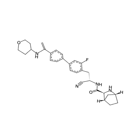 C=C(NC1CCOCC1)c1ccc(-c2ccc(C[C@@H](C#N)NC(=O)[C@H]3N[C@@H]4CC[C@H]3C4)c(F)c2)cc1